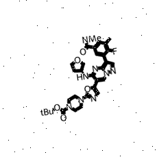 CNC(=O)c1cc(C)c(F)c(-c2cnn3cc(-c4cnc(N5CCN(C(=O)OC(C)(C)C)CC5)o4)c(N[C@H]4CCOC4)nc23)c1